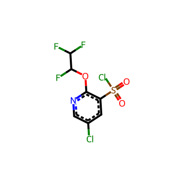 O=S(=O)(Cl)c1cc(Cl)cnc1OC(F)C(F)F